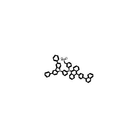 O=[SH](=O)Cc1cccc(N(c2cccc(-n3c4ccc(-c5ccccc5)cc4c4cc(-c5ccccc5)ccc43)c2)c2c3ccccc3c(-c3ccc(-c4cccc5ccccc45)cc3)c3ccccc23)c1